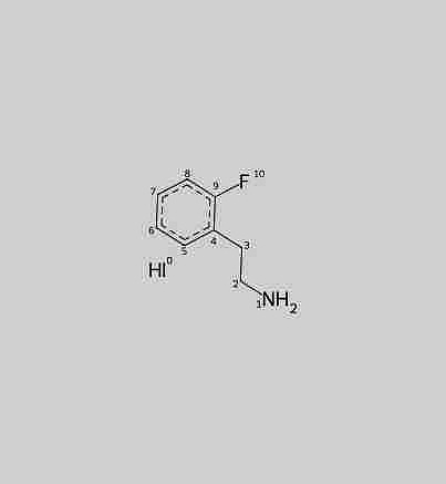 I.NCCc1ccccc1F